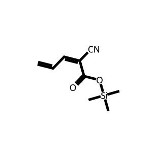 C=CC=C(C#N)C(=O)O[Si](C)(C)C